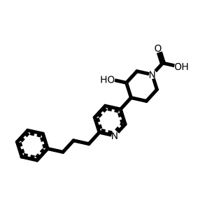 O=C(O)N1CCC(c2ccc(CCCc3ccccc3)nc2)C(O)C1